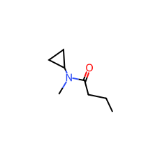 CCCC(=O)N(C)C1CC1